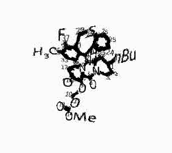 CCCCC1CCN2C(=O)c3c(OCOC(=O)OC)c(=O)ccn3N(C3c4ccccc4SCc4c3ccc(C)c4F)[C@@H]2C1